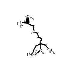 C=C(C)COCCCC(CC)(CC)O[SiH3]